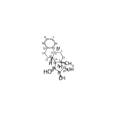 C[C@]12CC[C@@H]3c4ccccc4CC[C@H]3[C@@H]1[C@@H](O)[C@H](O)[C@@H]2O